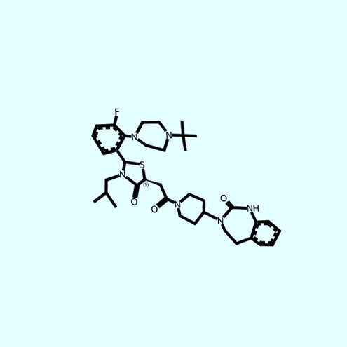 CC(C)CN1C(=O)[C@H](CC(=O)N2CCC(N3CCc4ccccc4NC3=O)CC2)SC1c1cccc(F)c1N1CCN(C(C)(C)C)CC1